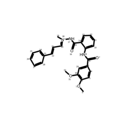 COc1ccc(C(=O)Nc2ccccc2C(=O)N[N+](C)=CC=Cc2ccccc2)cc1OC